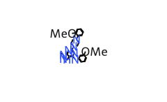 COc1cccc(Nc2nc(N3CCN(c4ccccc4OC)CC3)nc3c2cnn3C)c1